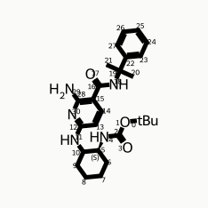 CC(C)(C)OC(=O)N[C@H]1CCCCC1Nc1ccc(C(=O)NC(C)(C)c2ccccc2)c(N)n1